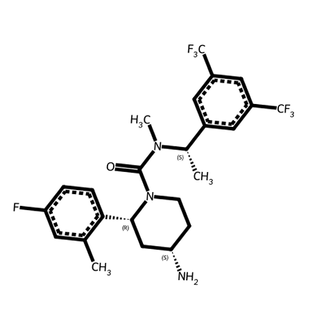 Cc1cc(F)ccc1[C@H]1C[C@@H](N)CCN1C(=O)N(C)[C@@H](C)c1cc(C(F)(F)F)cc(C(F)(F)F)c1